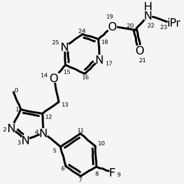 Cc1nnn(-c2ccc(F)cc2)c1COc1cnc(OC(=O)NC(C)C)cn1